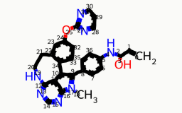 C=CC(O)Nc1ccc(-c2c3c4c(ncnc4n2C)NCCc2cc(Oc4ncccn4)ccc2-3)cc1